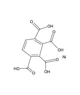 O=C(O)c1ccc(C(=O)O)c(C(=O)O)c1C(=O)O.[Ni]